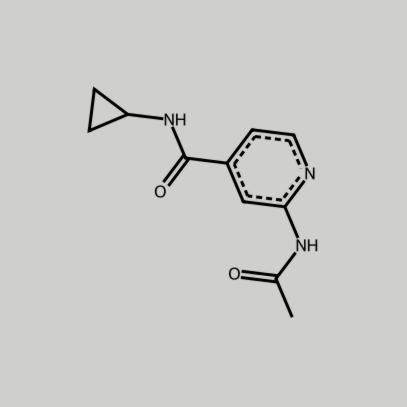 CC(=O)Nc1cc(C(=O)NC2CC2)ccn1